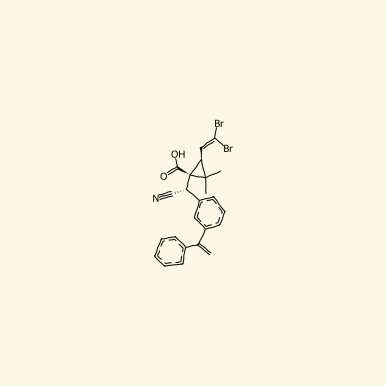 C=C(c1ccccc1)c1cccc([C@H](C#N)[C@]2(C(=O)O)[C@@H](C=C(Br)Br)C2(C)C)c1